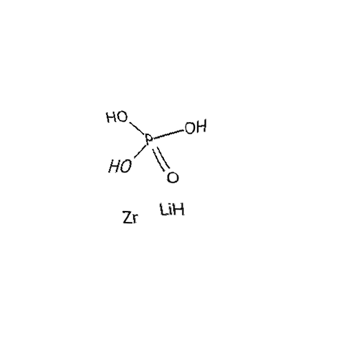 O=P(O)(O)O.[LiH].[Zr]